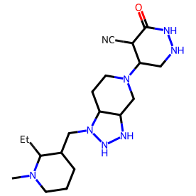 CCC1C(CN2NNC3CN(C4CNNC(=O)C4C#N)CCC32)CCCN1C